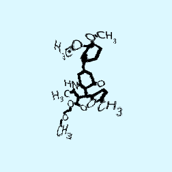 CCOCCOC(=O)C1=C(C)NC2=C(C(=O)CC(c3ccc(OC)c(OC)c3)C2)C1c1ccc(C)o1